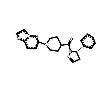 O=C(C1CCN(c2ccc3nccn3n2)CC1)N1N=CC[C@H]1c1ccccc1